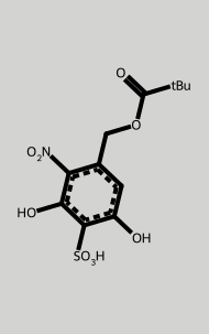 CC(C)(C)C(=O)OCc1cc(O)c(S(=O)(=O)O)c(O)c1[N+](=O)[O-]